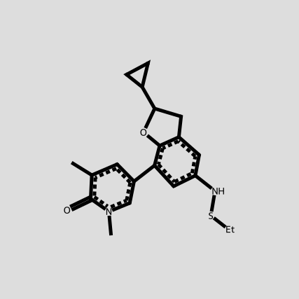 CCSNc1cc2c(c(-c3cc(C)c(=O)n(C)c3)c1)OC(C1CC1)C2